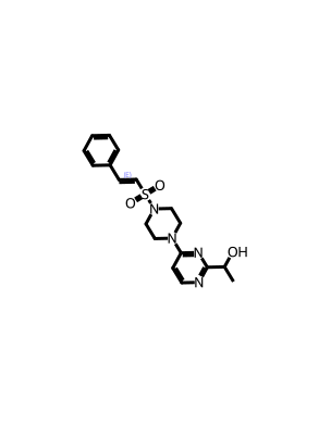 CC(O)c1nccc(N2CCN(S(=O)(=O)/C=C/c3ccccc3)CC2)n1